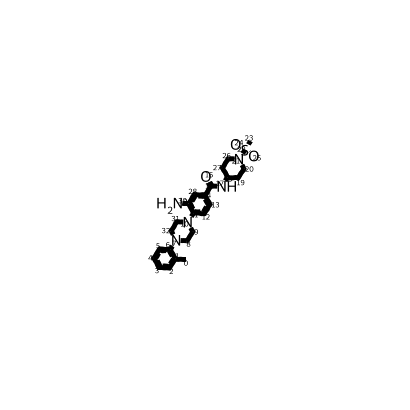 Cc1ccccc1N1CCN(c2ccc(C(=O)NC3CCN(S(C)(=O)=O)CC3)cc2N)CC1